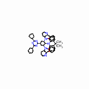 CC1(C)c2ccccc2N(c2c(-n3c4ccccc4c4ncccc43)cc(-c3nc(-c4ccccc4)nc(-c4ccccc4)n3)cc2-n2c3ccccc3c3ncccc32)c2ccccc21